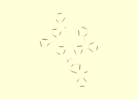 CC1(C)c2ccccc2-c2cc3c4ccccc4n(-c4ccc(-c5nc6cc7c(cc6n5-c5ccc6c(c5)c5ccccc5n6-c5ccccc5)C(=O)c5ccccc5-7)cc4)c3cc21